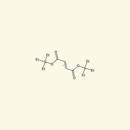 CC[Si](CC)(CC)OC(=O)/C=C/C(=O)O[Si](CC)(CC)CC